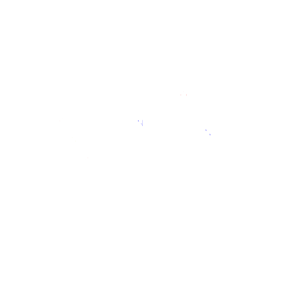 Cc1ccccc1S(=O)(=O)Cc1cccc(C(=O)N2CCC(C)CC2)n1